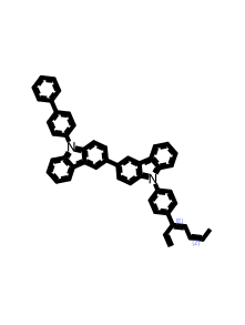 C=C/C(=C\C=C/C)c1ccc(-n2c3ccccc3c3cc(-c4ccc5c(c4)c4ccccc4n5-c4ccc(-c5ccccc5)cc4)ccc32)cc1